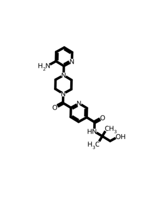 CC(C)(CO)NC(=O)c1ccc(C(=O)N2CCN(c3ncccc3N)CC2)nc1